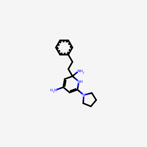 NC1=CC(N)(CCc2ccccc2)NC(N2CCCC2)=C1